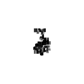 NC(=O)CCC(=O)NO.O=C(O)c1ccccc1.O=C1C=C(S(=O)(=O)O)C(=O)N1